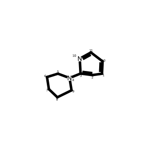 [c]1ccc(N2CCCCC2)nc1